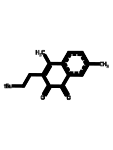 CC1=C(CCC(C)(C)C)C(=O)C(=O)c2cc(C)ccc21